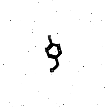 Fc1ncc(CCl)cn1